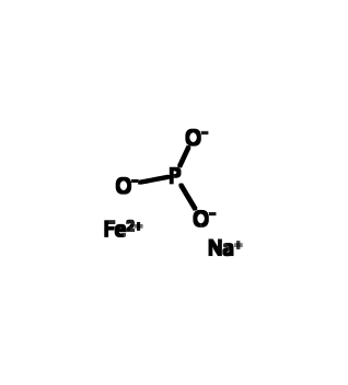 [Fe+2].[Na+].[O-]P([O-])[O-]